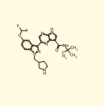 CC(C)(C)NC(=O)c1c[nH]c2ncc(-c3nn(CC4CCNC4)c4ccc(OC(F)F)cc34)nc12